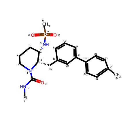 CCNC(=O)N1CCC[C@H](NS(C)(=O)=O)[C@@H]1Cc1cccc(-c2ccc(C(F)(F)F)cc2)c1